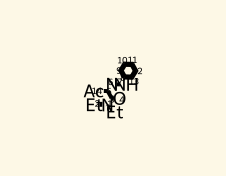 CCN(CC)C(=O)/C(=N\Nc1ccccc1)C(C)=O